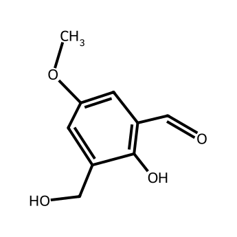 COc1cc(C=O)c(O)c(CO)c1